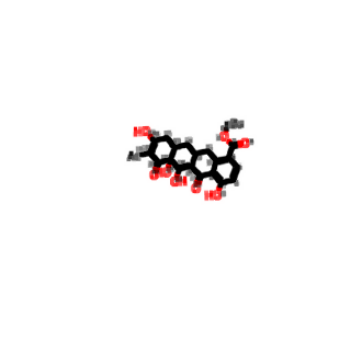 CCCCOC(=O)c1ccc(O)c2c1CC1CC3CC(O)=C(C(C)=O)C(=O)C3(O)C(O)=C1C2=O